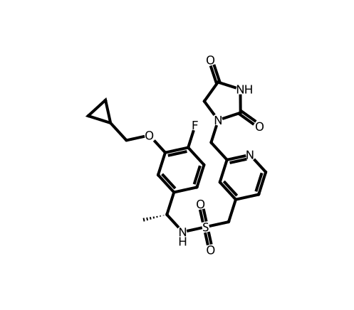 C[C@@H](NS(=O)(=O)Cc1ccnc(CN2CC(=O)NC2=O)c1)c1ccc(F)c(OCC2CC2)c1